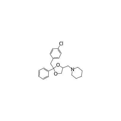 Clc1ccc(CC2(c3ccccc3)OCC(CN3CCCCC3)O2)cc1